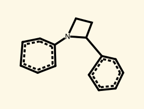 c1ccc(C2CCN2c2ccccc2)cc1